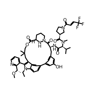 CCn1c(-c2cccnc2[C@H](C)OC)c2c3cc(ccc31)-c1cc(O)cc(c1)C[C@H](NC(=O)[C@H](C(C)C)N(C)C(=O)[C@H]1CCN(C(=O)/C=C/C(F)(F)F)C1)C(=O)N1CCC[C@H](N1)C(=O)OCC(C)(C)C2